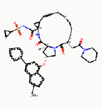 COc1ccc2c(O[C@@H]3C[C@H]4C(=O)N[C@]5(C(=O)NS(=O)(=O)C6CC6)CC5/C=C\CCCCC[C@H](CC(=O)N5CCCCC5)C(=O)N4C3)cc(-c3ccccc3)cc2c1